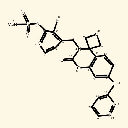 CNS(=O)(=O)Nc1nccc(CN2C(=O)Oc3cc(Oc4cccnn4)ccc3C23COC3)c1F